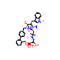 CC(C)(CC(=O)N[C@H](Cc1c[nH]c2ccccc12)C(=O)NCc1ccc(-c2ccccc2CO)cc1)NC[C@H](O)CO